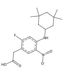 CC1(C)CC(Nc2cc(F)c(CC(=O)O)cc2[N+](=O)[O-])CC(C)(C)C1